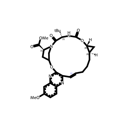 COC(=O)[C@@H]1CC2CN1C(=O)[C@H](C(C)(C)C)NC(=O)O[C@@H]1C[C@H]1CCC/C=C/c1nc3ccc(OC)cc3nc1O2